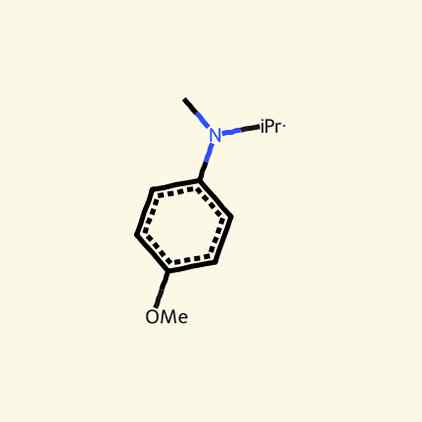 COc1ccc(N(C)[C](C)C)cc1